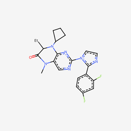 CCC1C(=O)N(C)c2cnc(-n3ccnc3-c3ccc(F)cc3F)nc2N1C1CCC1